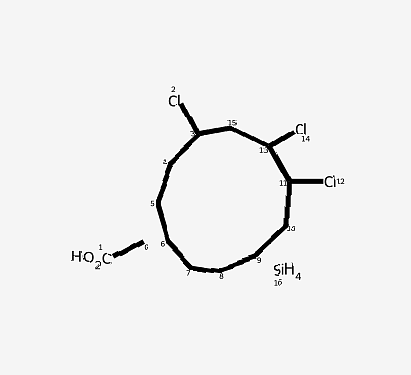 CC(=O)O.ClC1CCCCCCCC(Cl)C(Cl)C1.[SiH4]